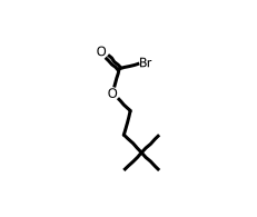 CC(C)(C)CCOC(=O)Br